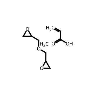 C.C(OCC1CO1)C1CO1.C=CC(=O)O